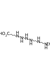 CCNCCCCNCCCCNCCNCCNCCNCCCCCC(=O)O